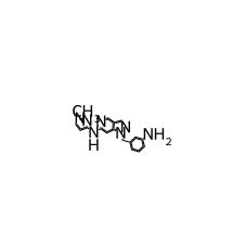 Cn1ccc(Nc2cc3c(cn2)cnn3Cc2cccc(N)c2)n1